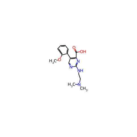 COc1ccccc1-c1cnc(NCCN(C)C)nc1C(=O)O